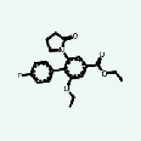 CCOC(=O)c1cc(OCC)c(-c2ccc(F)cc2)c(N2CCCC2=O)c1